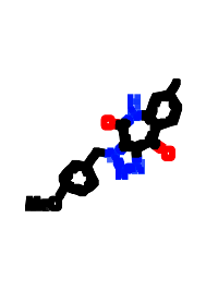 COc1ccc(Cn2nnc3c(=O)c4ccc(C)cc4[nH]c(=O)c32)cc1